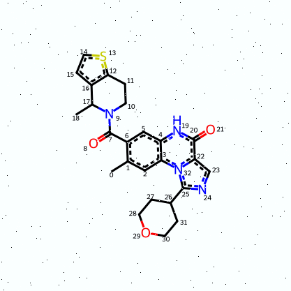 Cc1cc2c(cc1C(=O)N1CCc3sccc3C1C)[nH]c(=O)c1cnc(C3CCOCC3)n12